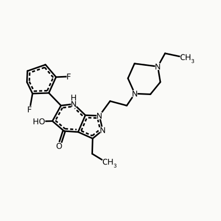 CCc1nn(CCN2CCN(CC)CC2)c2[nH]c(-c3c(F)cccc3F)c(O)c(=O)c12